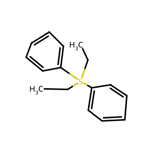 CCS(CC)(c1ccccc1)c1ccccc1